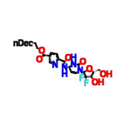 CCCCCCCCCCCCOC(=O)c1ccc(C(=O)NC2C=CN([C@@H]3O[C@H](CO)[C@@H](O)C3(F)F)C(=O)N2)nc1